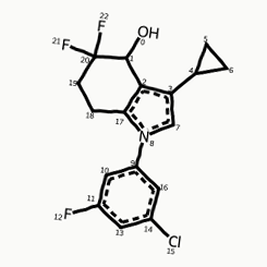 OC1c2c(C3CC3)cn(-c3cc(F)cc(Cl)c3)c2CCC1(F)F